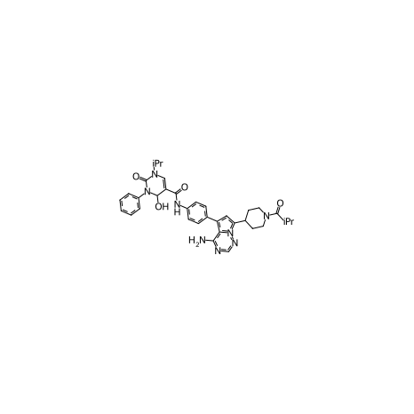 CC(C)C(=O)N1CCC(c2cc(-c3ccc(NC(=O)C4=CN(C(C)C)C(=O)N(c5ccccc5)C4O)cc3)c3c(N)ncnn23)CC1